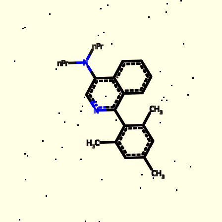 CCCN(CCC)c1cnc(-c2c(C)cc(C)cc2C)c2ccccc12